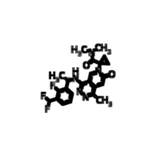 Cc1nnc(N[C@H](C)c2cccc(C(F)F)c2F)c2cn(C3(C(=O)N(C)C)CC3)c(=O)cc12